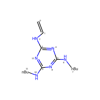 C=CNc1nc(NCCCC)nc(NCCCC)n1